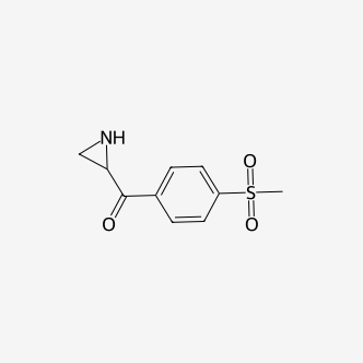 CS(=O)(=O)c1ccc(C(=O)C2CN2)cc1